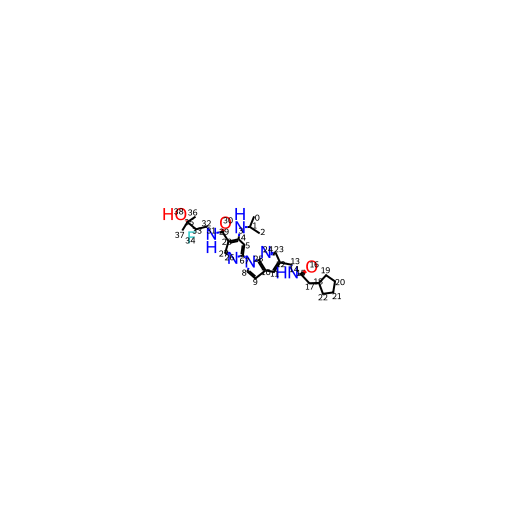 CC(C)Nc1cc(-n2ccc3cc(CNC(=O)CC4CCCC4)cnc32)ncc1C(=O)NC[C@@H](F)C(C)(C)O